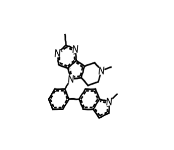 Cc1ncc2c(n1)c1c(n2-c2ccccc2-c2ccc3c(ccn3C)c2)CCN(C)C1